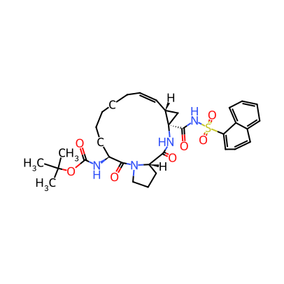 CC(C)(C)OC(=O)N[C@H]1CCCCC/C=C\[C@@H]2C[C@@]2(C(=O)NS(=O)(=O)c2cccc3ccccc23)NC(=O)[C@@H]2CCCN2C1=O